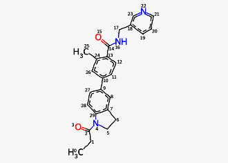 CCC(=O)N1CCc2cc(-c3ccc(C(=O)NCc4cccnc4)c(C)c3)ccc21